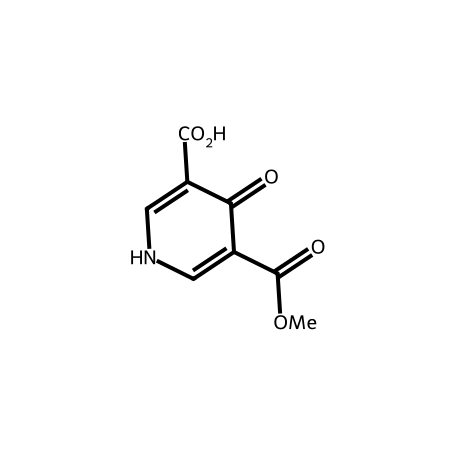 COC(=O)c1c[nH]cc(C(=O)O)c1=O